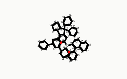 c1ccc(-c2cccc(-c3ccccc3N(c3ccc4c(c3)C(c3ccccc3)(c3ccccc3)c3ccccc3-4)c3ccc4ccccc4c3-c3ccccc3)c2)cc1